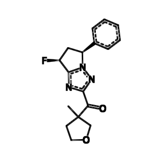 CC1(C(=O)c2nc3n(n2)[C@H](c2ccccc2)C[C@@H]3F)CCOC1